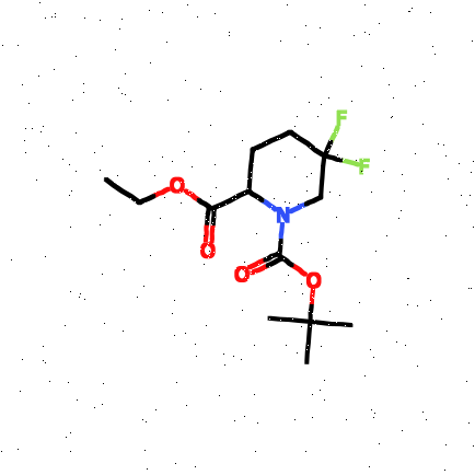 CCOC(=O)C1CCC(F)(F)CN1C(=O)OC(C)(C)C